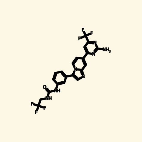 Nc1nc(-c2ccn3c(-c4cccc(NC(=O)NCC(F)(F)F)c4)cnc3c2)cc(C(F)(F)F)n1